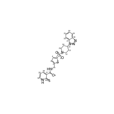 O=C(NCc1ccc(S(=O)(=O)N2CCC(n3nnc4ccccc43)CC2)s1)c1ccc[nH]c1=S